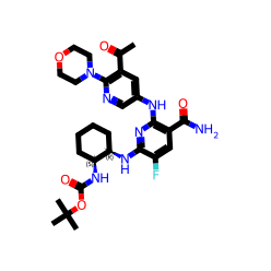 CC(=O)c1cc(Nc2nc(N[C@@H]3CCCC[C@@H]3NC(=O)OC(C)(C)C)c(F)cc2C(N)=O)cnc1N1CCOCC1